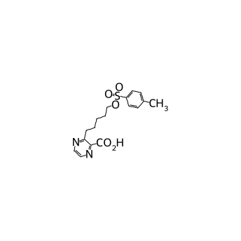 Cc1ccc(S(=O)(=O)OCCCCCc2nccnc2C(=O)O)cc1